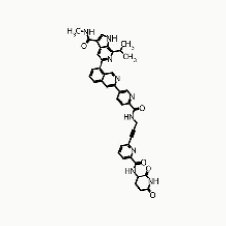 CNC(=O)c1c[nH]c2c(C(C)C)nc(-c3cccc4cc(-c5ccc(C(=O)NCC#Cc6cccc(C(=O)NC7CCC(=O)NC7=O)n6)nc5)ncc34)cc12